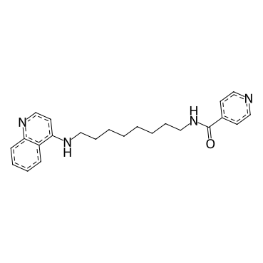 O=C(NCCCCCCCCNc1ccnc2ccccc12)c1ccncc1